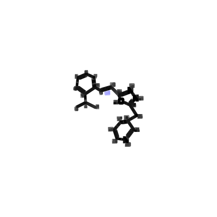 CC(C)c1ccccc1/C=C/c1nnc(Cc2cccnc2)o1